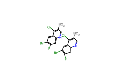 O=[N+]([O-])c1cnc2cc(F)c(Br)cc2c1Cl.O=[N+]([O-])c1cnc2cc(F)c(Br)cc2c1Cl